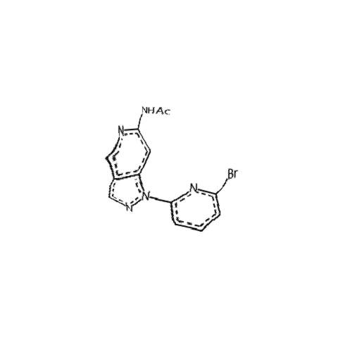 CC(=O)Nc1cc2c(cn1)cnn2-c1cccc(Br)n1